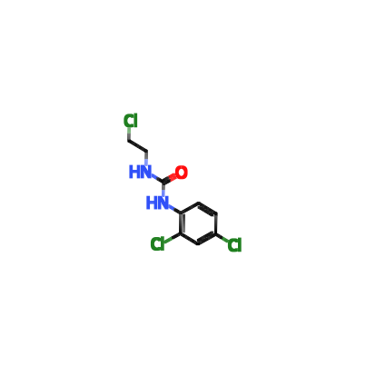 O=C(NCCCl)Nc1ccc(Cl)cc1Cl